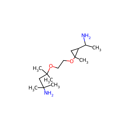 CC(N)C1CC1(C)OCCOC(C)(C)CC(C)(C)N